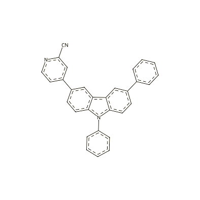 N#Cc1cc(-c2ccc3c(c2)c2cc(-c4ccccc4)ccc2n3-c2ccccc2)ccn1